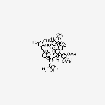 C=C1/C(=C\C=C2/CCC[C@]3(C)[C@@H]([C@H](C)CCCC(C)(C)O)CC[C@@H]23)C[C@@H](O)C[C@@H]1O.COc1cc([C@@H]2c3cc4c(cc3[C@@H](O[C@@H]3O[C@@H]5CO[C@@H](C)O[C@H]5[C@H](O)[C@H]3O)[C@H]3COC(=O)[C@H]23)OCO4)cc(OC)c1O